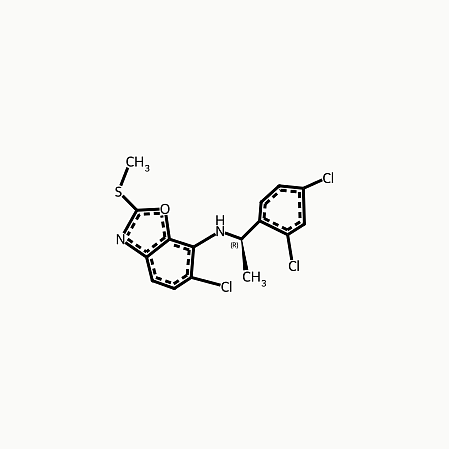 CSc1nc2ccc(Cl)c(N[C@H](C)c3ccc(Cl)cc3Cl)c2o1